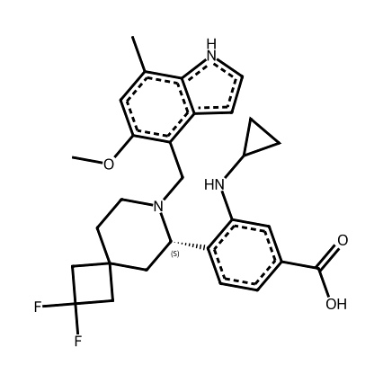 COc1cc(C)c2[nH]ccc2c1CN1CCC2(C[C@H]1c1ccc(C(=O)O)cc1NC1CC1)CC(F)(F)C2